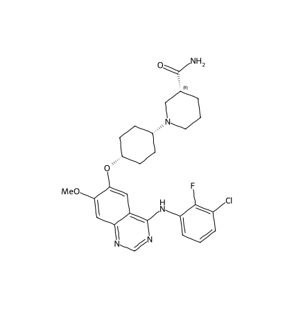 COc1cc2ncnc(Nc3cccc(Cl)c3F)c2cc1O[C@H]1CC[C@@H](N2CCC[C@@H](C(N)=O)C2)CC1